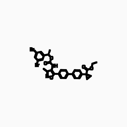 CCOC(=O)C1(c2ccc(-c3ccc(-c4onc(C)c4NC(=O)O[C@H](C)c4cc(Br)cc(Br)c4)cc3)cc2)CC1